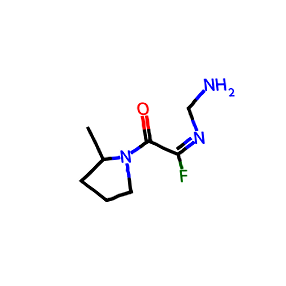 CC1CCCN1C(=O)/C(F)=N\CN